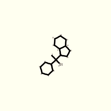 CCC(C)(C1CCCCC1)C1CCC2CCCCC21